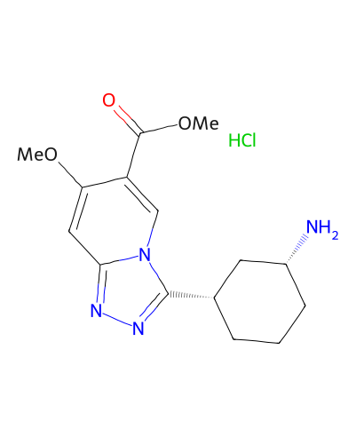 COC(=O)c1cn2c([C@H]3CCC[C@@H](N)C3)nnc2cc1OC.Cl